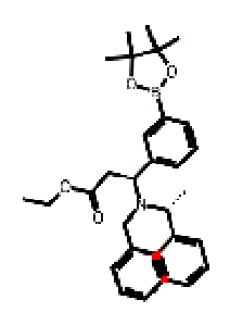 CCOC(=O)C[C@@H](c1cccc(B2OC(C)(C)C(C)(C)O2)c1)N(Cc1ccccc1)[C@H](C)c1ccccc1